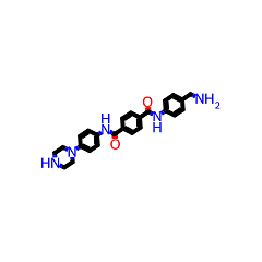 NCc1ccc(NC(=O)c2ccc(C(=O)Nc3ccc(N4CCNCC4)cc3)cc2)cc1